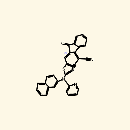 N#CC(C#N)=C1/C(=C\c2ccc(N(c3ccc4ccccc4c3)c3ccccn3)s2)C(=O)c2ccccc21